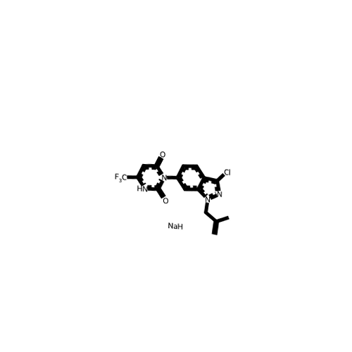 C=C(C)Cn1nc(Cl)c2ccc(-n3c(=O)cc(C(F)(F)F)[nH]c3=O)cc21.[NaH]